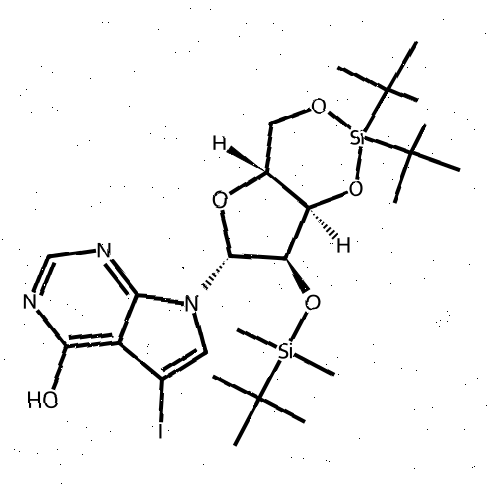 CC(C)(C)[Si](C)(C)O[C@@H]1[C@@H]2O[Si](C(C)(C)C)(C(C)(C)C)OC[C@H]2O[C@H]1n1cc(I)c2c(O)ncnc21